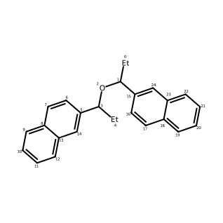 CCC(OC(CC)c1ccc2ccccc2c1)c1ccc2ccccc2c1